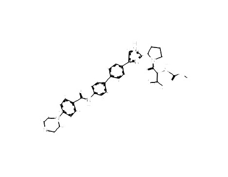 COC(=O)N[C@H](C(=O)N1CCC[C@H]1c1nc(-c2ccc(-c3ccc(NC(=O)c4ccc(N5CCNCC5)cc4)cc3)cc2)c[nH]1)C(C)C